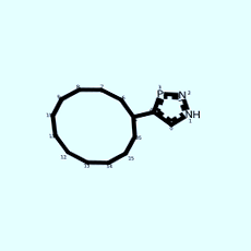 c1[nH]npc1C1CCCCCCCCCCC1